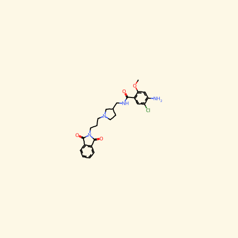 COc1cc(N)c(Cl)cc1C(=O)NCC1CCN(CCCN2C(=O)c3ccccc3C2=O)C1